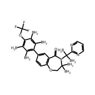 Bc1c(B)c(-c2ccc3c(c2)C(=O)N(C(B)(B)c2ncccn2)C(B)(B)CO3)c(B)c(B)c1OC(F)(F)F